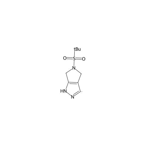 CC(C)(C)S(=O)(=O)N1Cc2[c]n[nH]c2C1